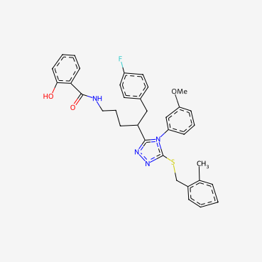 COc1cccc(-n2c(SCc3ccccc3C)nnc2C(CCCNC(=O)c2ccccc2O)Cc2ccc(F)cc2)c1